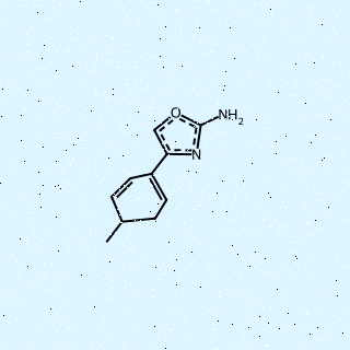 CC1C=CC(c2coc(N)n2)=CC1